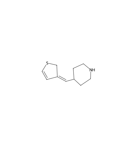 C1=CC(=CC2CCNCC2)CS1